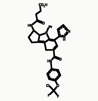 CC(C)N1C2=C(c3ccn[nH]3)C=C(C(=O)Nc3ccc(OC(F)(F)Cl)cc3)CC2=C2CCC(NC(=O)CCC(=O)O)C21